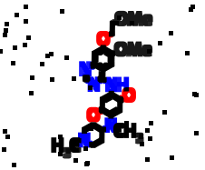 COCCOc1cc2ncnc(NC3=CC(=O)C(N(C)C4CCN(C)CC4)=CC3=O)c2cc1OC